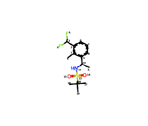 Cc1c(C(F)F)cccc1[C@@H](C)NS(=O)(=O)C(C)(C)C